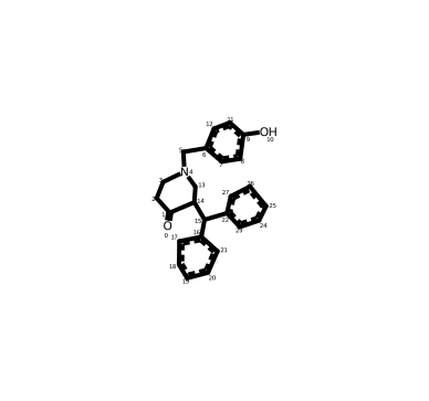 O=C1CCN(Cc2ccc(O)cc2)CC1C(c1ccccc1)c1ccccc1